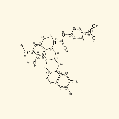 CCC1CN2CCc3cc(C)c(C)cc3C2CC1CC1c2cc(OC)c(OC)cc2CCN1C(=O)Oc1ccc([N+](=O)[O-])cc1